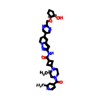 Cc1cc(C(=O)N2CCN(C3CC(C(=O)Nc4cc5cc(-c6cnc(CO[C@H]7CCC[C@@H]7O)nc6)ccn5n4)C3)[C@@H](C)C2)ccn1